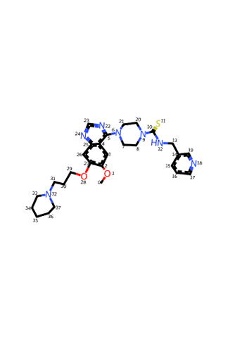 COc1cc2c(N3CCN(C(=S)NCc4cccnc4)CC3)ncnc2cc1OCCCN1CCCCC1